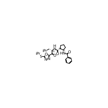 CC(C)C[C@H](NC(=O)[C@@H]1CCC[C@@H]1NC(=O)c1ccccc1)C(=O)c1nnc(SC(C)C)o1